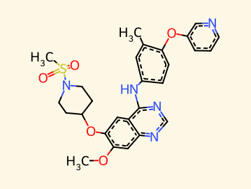 COc1cc2ncnc(Nc3ccc(Oc4cccnc4)c(C)c3)c2cc1OC1CCN(S(C)(=O)=O)CC1